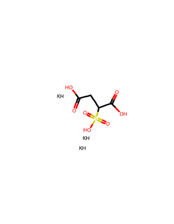 O=C(O)CC(C(=O)O)S(=O)(=O)O.[KH].[KH].[KH]